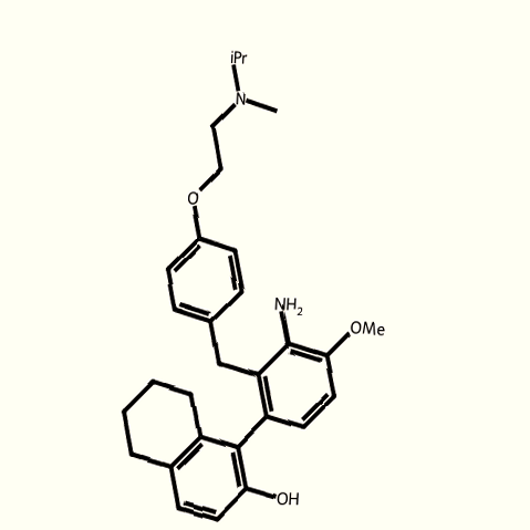 COc1ccc(-c2c(O)ccc3c2CCCC3)c(Cc2ccc(OCCN(C)C(C)C)cc2)c1N